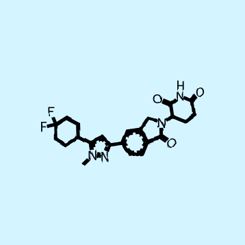 Cn1nc(-c2ccc3c(c2)CN(C2CCC(=O)NC2=O)C3=O)cc1C1CCC(F)(F)CC1